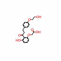 O=C(O)COc1cccc(O)c1C(=O)CCc1ccc(OCCO)cc1